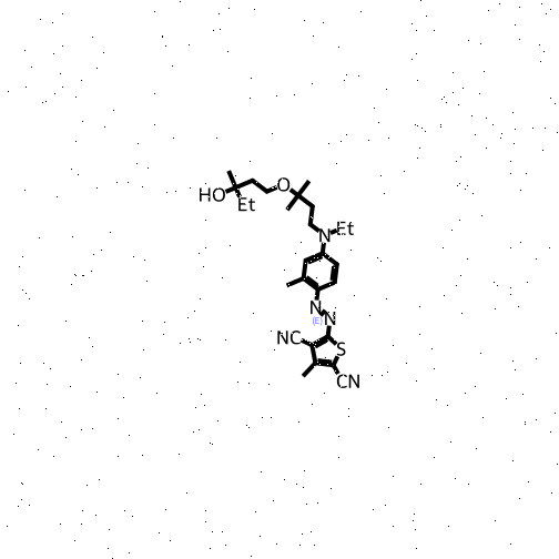 CCN(CCC(C)(C)OCCC(C)(O)CC)c1ccc(/N=N/c2sc(C#N)c(C)c2C#N)c(C)c1